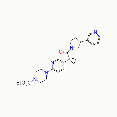 CCOC(=O)N1CCN(c2ccc(C3(C(=O)N4CCC(c5cccnc5)C4)CC3)cn2)CC1